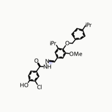 COc1cc(/C=N/NC(=O)c2ccc(O)c(Cl)c2)cc(C(C)C)c1OCc1ccc(C(C)C)cc1